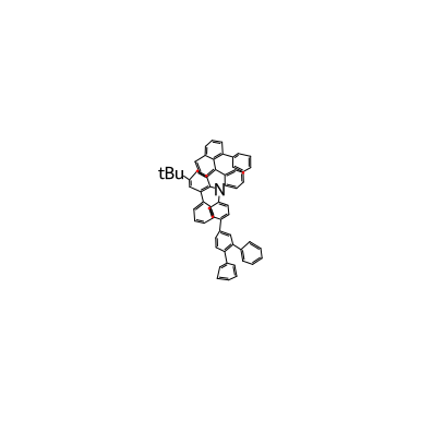 CC(C)(C)c1ccc(N(c2ccc(-c3ccc(-c4ccccc4)c(-c4ccccc4)c3)cc2)c2ccccc2-c2cccc3cccc(-c4ccccc4)c23)c(-c2ccccc2)c1